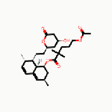 CC(=O)OCCCC(C)(C)C(=O)O[C@H]1C[C@@H](C)C=C2C=C[C@H](C)[C@H](CC[C@@H]3C[C@@H](O)CC(=O)O3)[C@H]21